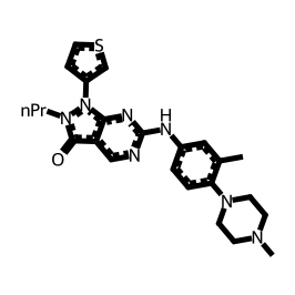 CCCn1c(=O)c2cnc(Nc3ccc(N4CCN(C)CC4)c(C)c3)nc2n1-c1ccsc1